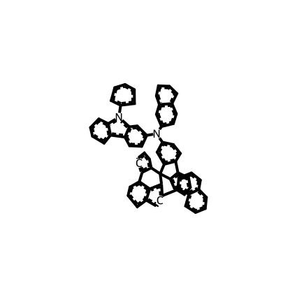 c1ccc(-n2c3ccccc3c3ccc(N(c4ccc5c(c4)C4(c6ccccc6-5)c5ccccc5-c5cccc6ccc(-c7cccc8ccccc78)c4c56)c4ccc5ccccc5c4)cc32)cc1